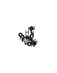 COc1ccc2nc(C(F)(F)F)n(CC(=O)N3CCC(N(C)Cc4cnccn4)C[C@H]3c3ncc(-c4cc5ccccc5nc4OC)[nH]3)c2c1